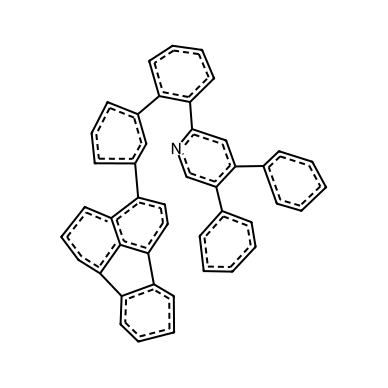 c1ccc(-c2cnc(-c3ccccc3-c3cccc(-c4ccc5c6c(cccc46)-c4ccccc4-5)c3)cc2-c2ccccc2)cc1